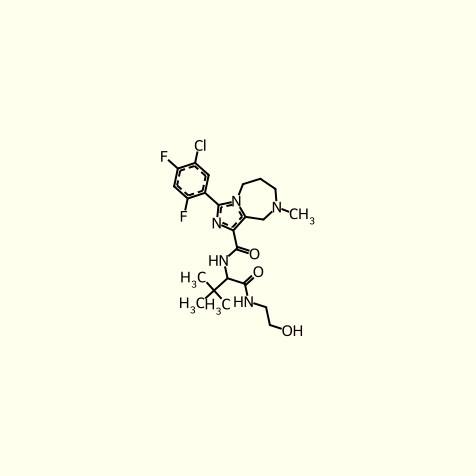 CN1CCCn2c(-c3cc(Cl)c(F)cc3F)nc(C(=O)NC(C(=O)NCCO)C(C)(C)C)c2C1